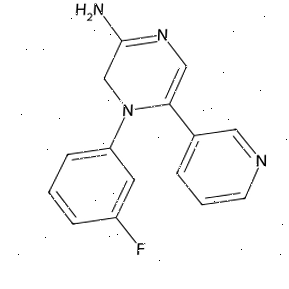 NC1=NC=C(c2cccnc2)N(c2cccc(F)c2)C1